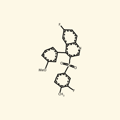 COc1cccc(-c2c(S(=O)(=O)c3ccc(C)c(F)c3)cnc3ccc(F)cc23)c1